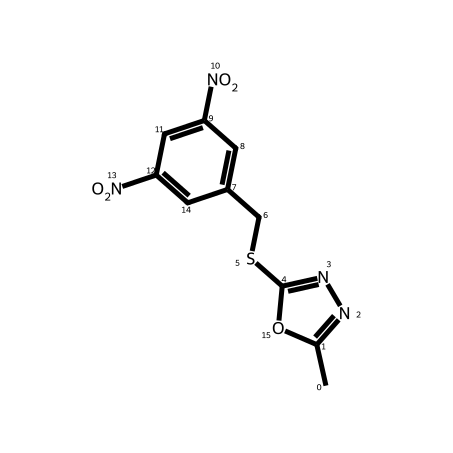 Cc1nnc(SCc2cc([N+](=O)[O-])cc([N+](=O)[O-])c2)o1